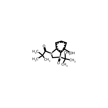 CC(C)(C)C(=O)N1CP(=O)(C(C)(C)C)c2c(O)cccc21